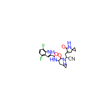 N#CC(C[C@@H]1CC2(CC2)NC1=O)NC(=O)C(CC1CC1)NC(=O)c1cc2c(F)ccc(F)c2[nH]1